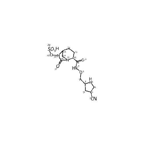 N#CC1CNC(CONC(=O)[C@@H]2CCC3CN2C(=O)N3OS(=O)(=O)O)C1